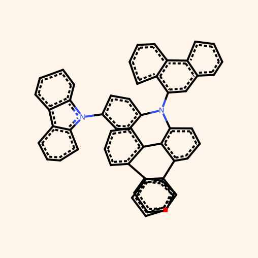 c1ccc(-c2ccccc2-c2c(-c3ccccc3)cccc2N(c2ccc(-n3c4ccccc4c4ccccc43)cc2)c2cc3ccccc3c3ccccc23)cc1